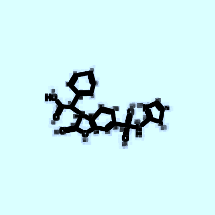 O=C(O)C(c1ccccc1)n1c(=O)oc2cc(S(=O)(=O)Nc3nccs3)ccc21